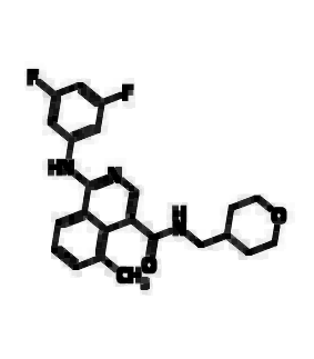 Cc1cccc2c(Nc3cc(F)cc(F)c3)ncc(C(=O)NCC3CCOCC3)c12